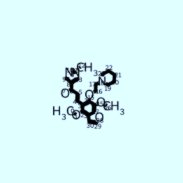 COc1c(C=CC(=O)c2cnn(C)c2)c(OCCN2CCCCC2)c(OC)c2occc12